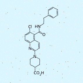 O=C(NCCc1ccccc1)c1c(Cl)ccc2nc(N3CCC(C(=O)O)CC3)ccc12